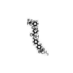 CS(=O)(=O)c1ccc(-c2ccc(CNC(=O)c3ccnc(Oc4ccccc4OC(F)(F)F)c3)cc2)cc1